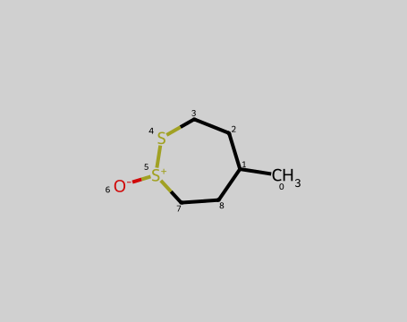 CC1CCS[S+]([O-])CC1